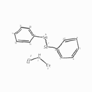 CCNCC.c1ccc([Se][Se]c2ccccc2)cc1